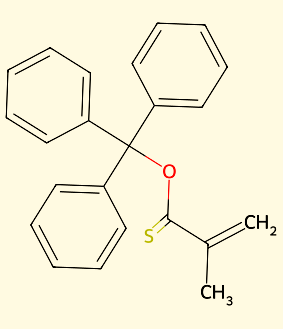 C=C(C)C(=S)OC(c1ccccc1)(c1ccccc1)c1ccccc1